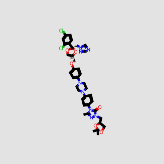 Cc1nn(CC2COC(C)(C)O2)c(=O)n1-c1ccc(N2CCN(c3ccc(OC[C@@H]4CO[C@@](Cn5cncn5)(c5ccc(Cl)cc5Cl)O4)cc3)CC2)cc1